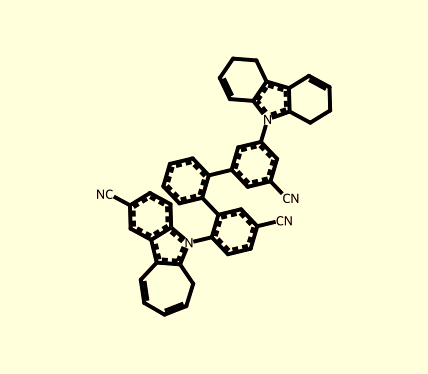 N#Cc1cc(-c2ccccc2-c2cc(C#N)ccc2-n2c3c(c4cc(C#N)ccc42)C=CC=CC3)cc(-n2c3c(c4c2CCC=C4)CCC=C3)c1